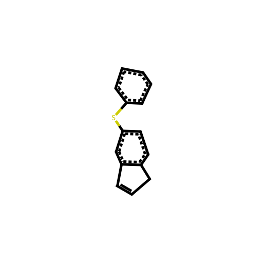 [C]1=CCc2ccc(Sc3ccccc3)cc21